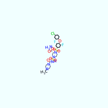 CN1CCN(C(=O)NS(=O)(=O)N2CCN(S(=O)(=O)c3cc(F)c(Oc4ccc(Cl)cc4)c(F)c3)[C@@H](C(=O)ON)C2)CC1